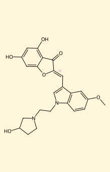 COc1ccc2c(c1)c(/C=C1\Oc3cc(O)cc(O)c3C1=O)cn2CCN1CCC(O)C1